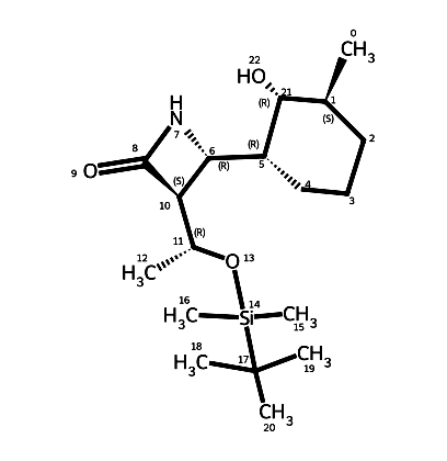 C[C@H]1CCC[C@H]([C@H]2NC(=O)[C@@H]2[C@@H](C)O[Si](C)(C)C(C)(C)C)[C@@H]1O